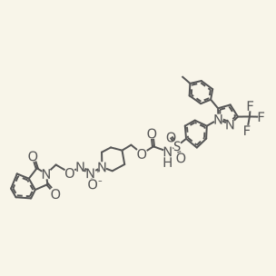 Cc1ccc(-c2cc(C(F)(F)F)nn2-c2ccc(S(=O)(=O)NC(=O)OCC3CCN(/[N+]([O-])=N/OCN4C(=O)c5ccccc5C4=O)CC3)cc2)cc1